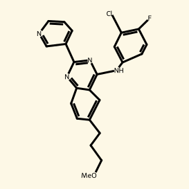 COCCCc1ccc2nc(-c3cccnc3)nc(Nc3ccc(F)c(Cl)c3)c2c1